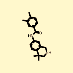 Cc1ccc(C(=O)Nc2ccc3c(c2)CNCC3(C)C)cc1I